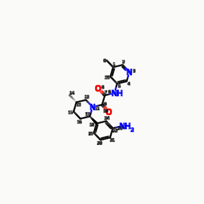 Cc1cncc(NC(=O)C(=O)N2C[C@@H](C)CC[C@@H]2c2cccc(N)c2)c1